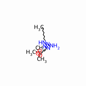 CCCCCCCCNc1nc(N)nc(CCC[Si](OCC)(OCC)OCC)n1